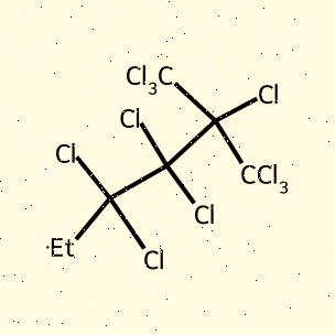 C[CH]C(Cl)(Cl)C(Cl)(Cl)C(Cl)(C(Cl)(Cl)Cl)C(Cl)(Cl)Cl